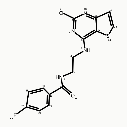 O=C(NCCNc1nc(Cl)nc2ccsc12)c1ccc(F)cc1